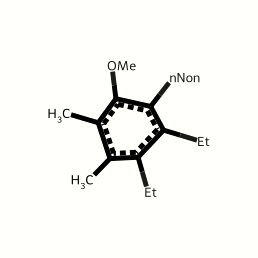 CCCCCCCCCc1c(CC)c(CC)c(C)c(C)c1OC